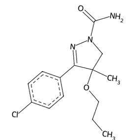 CCCOC1(C)CN(C(N)=O)N=C1c1ccc(Cl)cc1